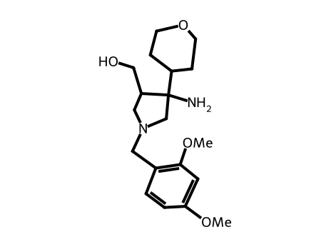 COc1ccc(CN2CC(CO)C(N)(C3CCOCC3)C2)c(OC)c1